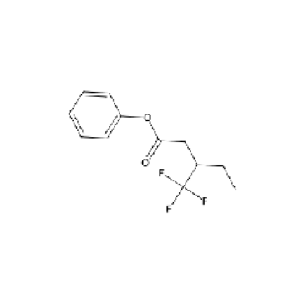 CCC(CC(=O)Oc1ccccc1)C(F)(F)F